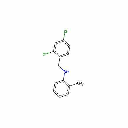 [CH2]c1ccccc1NCc1ccc(Cl)cc1Cl